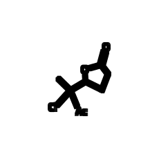 CC(=O)C(C)(Cl)C1CCC(=O)O1